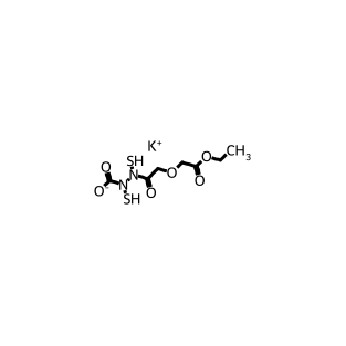 CCOC(=O)COCC(=O)N(S)N(S)C(=O)[O-].[K+]